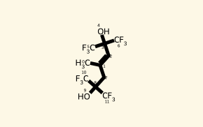 C/C(=C\C(O)(C(F)(F)F)C(F)(F)F)CC(O)(C(F)(F)F)C(F)(F)F